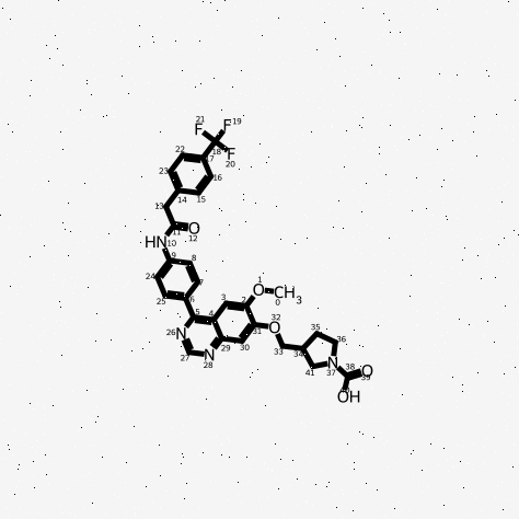 COc1cc2c(-c3ccc(NC(=O)Cc4ccc(C(F)(F)F)cc4)cc3)ncnc2cc1OCC1CCN(C(=O)O)C1